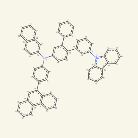 c1ccc(-c2cc(N(c3ccc(-c4cc5ccccc5c5ccccc45)cc3)c3ccc4ccccc4c3)ccc2-c2cccc(-n3c4ccccc4c4ccccc43)c2)cc1